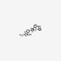 Cc1cnoc1Nc1nccc(-c2csc(-c3cccc([C@]4(O)CCN(C)C4=O)c3)n2)n1